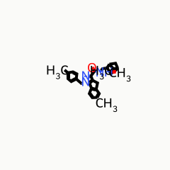 Cc1ccc(Cn2nc(C(=O)NCC3CCC4CC3C4(C)C)c3c2-c2ccc(C)cc2C3)cc1